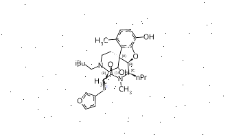 CCC[C@H]([C@@H]1Oc2c(O)ccc(C)c2[C@@]12CCN(CC(C)CC)[C@H](C)[C@H]2O)N(C)C(=O)/C=C/c1ccoc1